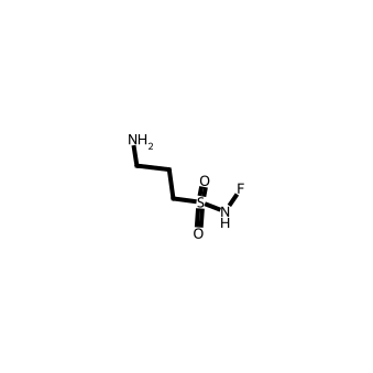 NCCCS(=O)(=O)NF